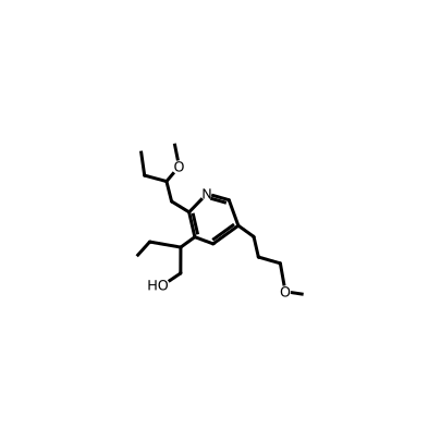 CCC(Cc1ncc(CCCOC)cc1C(CC)CO)OC